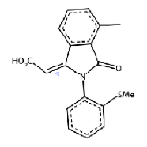 CSc1ccccc1N1C(=O)c2c(C)cccc2/C1=C\C(=O)O